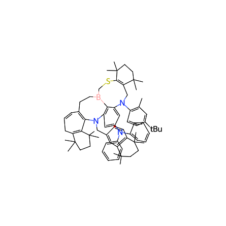 Cc1cc(C(C)(C)C)ccc1N1CC2=C(SCB3CCC4=C(C5=C(CC=C4)C(C)(C)CCC5(C)C)N(Cc4ccc5c(c4)C(C)(C)CCC5(C)C)c4cc(N(c5ccccc5)c5ccccc5)cc1c43)C(C)(C)CCC2(C)C